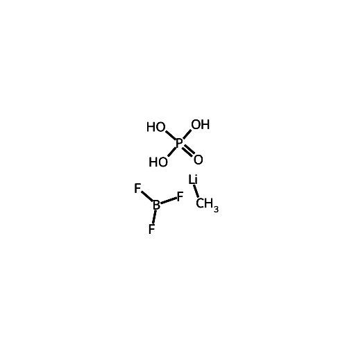 FB(F)F.O=P(O)(O)O.[Li][CH3]